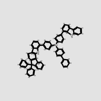 c1ccc(-c2ccc(N(c3ccc(-c4cccc5c4oc4ccccc45)cc3)c3ccc(-c4cccc5c4oc4c6c(ccc45)C(c4ccccc4)(c4ccccc4)c4ccccc4-6)cc3)cc2)cc1